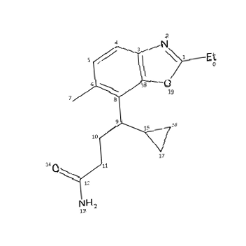 CCc1nc2ccc(C)c(C(CCC(N)=O)C3CC3)c2o1